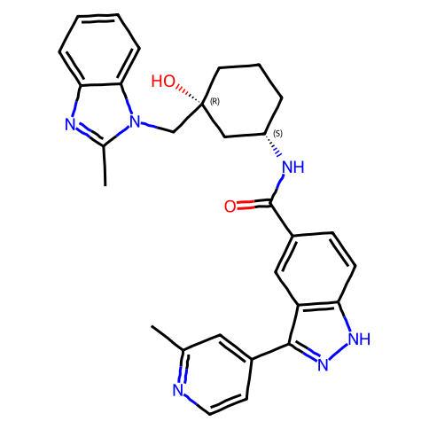 Cc1cc(-c2n[nH]c3ccc(C(=O)N[C@H]4CCC[C@](O)(Cn5c(C)nc6ccccc65)C4)cc23)ccn1